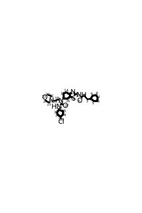 O=C(CCc1ccccc1)Nc1nc2ccc(N(CCN3CCOCC3)C(=O)Nc3ccc(Cl)cc3)cc2s1